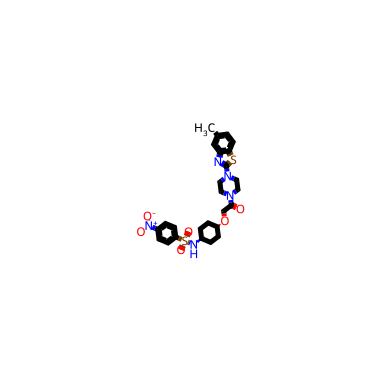 Cc1ccc2sc(N3CCN(C(=O)CO[C@H]4CC[C@H](NS(=O)(=O)c5ccc([N+](=O)[O-])cc5)CC4)CC3)nc2c1